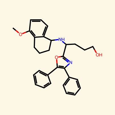 COc1cccc2c1CCCC2NC(CCCO)c1nc(-c2ccccc2)c(-c2ccccc2)o1